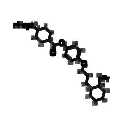 CCCCCCCC1CCC(C(=O)Oc2ccc(OCCCC3CCCCC3CCC)cc2)CC1